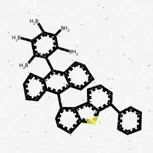 Bc1c(B)c(B)c(-c2c3ccccc3c(-c3cccc4sc5c(-c6ccccc6)cccc5c34)c3ccccc23)c(B)c1B